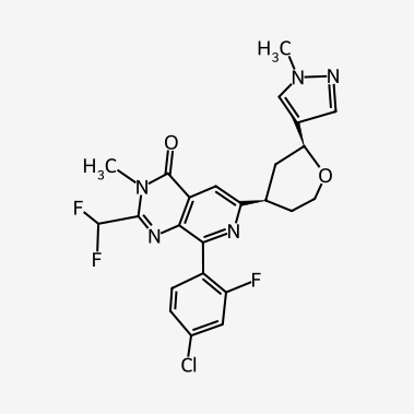 Cn1cc([C@@H]2C[C@H](c3cc4c(=O)n(C)c(C(F)F)nc4c(-c4ccc(Cl)cc4F)n3)CCO2)cn1